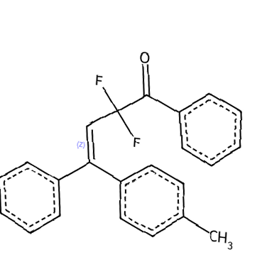 Cc1ccc(/C(=C\C(F)(F)C(=O)c2ccccc2)c2ccccc2)cc1